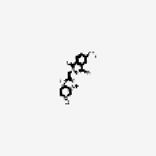 CCN1CC[C@@H](NC(=O)Cn2nc(C(C)C)c3cc(C(F)(F)F)ccc3c2=O)[C@H](O)C1